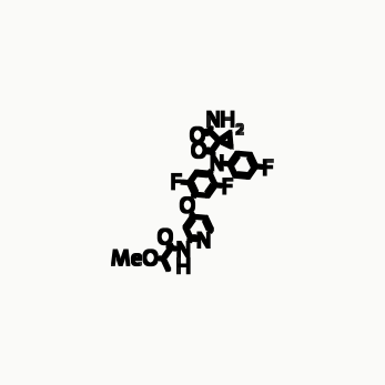 COC(C)C(=O)Nc1cc(Oc2cc(F)c(N(C(=O)C3(C(N)=O)CC3)c3ccc(F)cc3)cc2F)ccn1